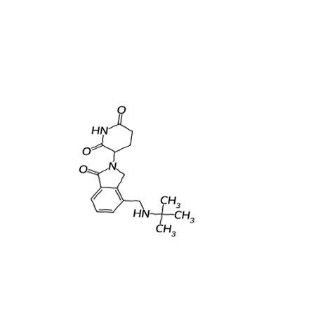 CC(C)(C)NCc1cccc2c1CN(C1CCC(=O)NC1=O)C2=O